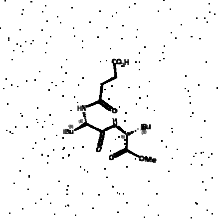 CC[C@H](C)[C@H](NC(=O)CCC(=O)O)C(=O)N[C@H](C(=O)OC)[C@@H](C)CC